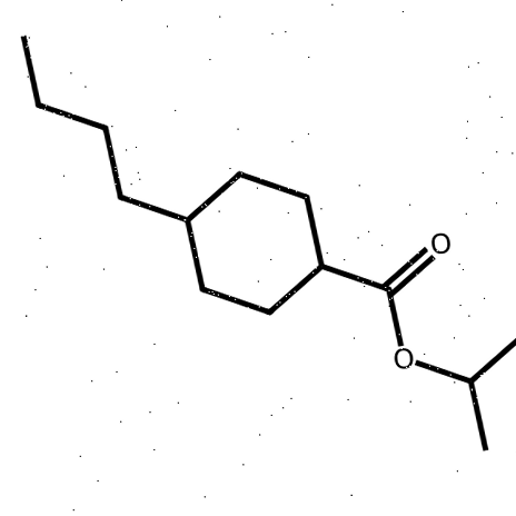 CCCCC1CCC(C(=O)OC(C)C)CC1